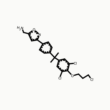 CC(C)(c1ccc(-c2cc(CN)on2)cc1)c1cc(Cl)c(OCCCCl)c(Cl)c1